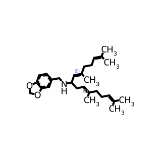 CC(C)=CCC/C(C)=C/CC(/C=C(\C)CCC=C(C)C)NCc1ccc2c(c1)OCO2